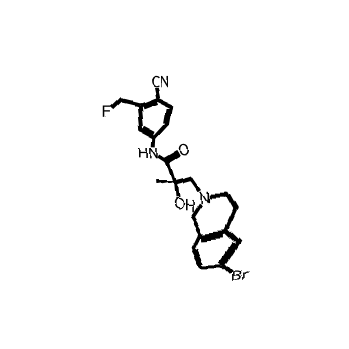 C[C@](O)(CN1CCc2cc(Br)ccc2C1)C(=O)Nc1ccc(C#N)c(CF)c1